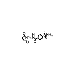 NS(=O)(=O)c1ccc(C(=O)NCCN2C(=O)C=CC2=O)cc1